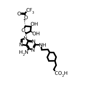 Nc1nc(NCCC2CCC(CCC(=O)O)CC2)nc2c1ncn2[C@@H]1O[C@H](COC(=O)C(F)(F)F)[C@@H](O)[C@H]1O